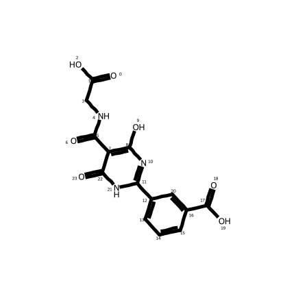 O=C(O)CNC(=O)c1c(O)nc(-c2cccc(C(=O)O)c2)[nH]c1=O